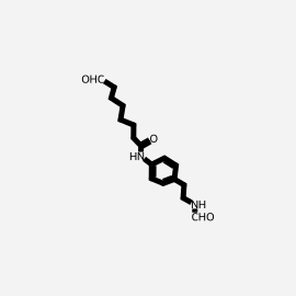 O=CCCCCCCC(=O)Nc1ccc(CCNC=O)cc1